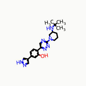 CC(C)(C)NC1CCCN(c2ncc(-c3ccc(-c4cn[nH]c4)cc3O)nn2)C1